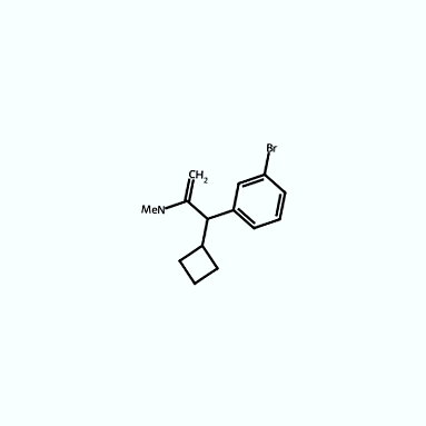 C=C(NC)C(c1cccc(Br)c1)C1CCC1